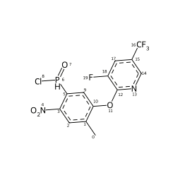 Cc1cc([N+](=O)[O-])c([PH](=O)Cl)cc1Oc1ncc(C(F)(F)F)cc1F